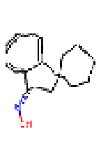 ON=C1CC2(CCCCC2)c2ccccc21